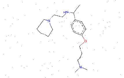 CC(NCCN1CCCCC1)c1ccc(OCCCN(C)C)cc1